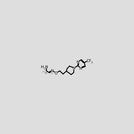 C[C@H](N)/C=N/OCCC1CCN(c2ncc(C(F)(F)F)cn2)CC1